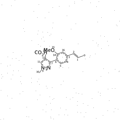 CC=Cc1ccc(-c2nn(C)cc2C(=O)O)c(OC)c1